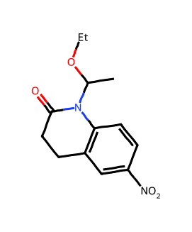 CCOC(C)N1C(=O)CCc2cc([N+](=O)[O-])ccc21